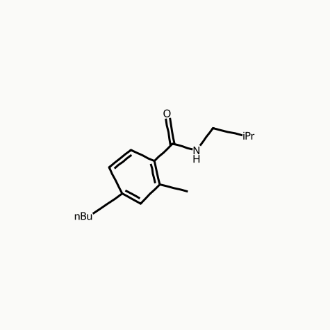 CCCCc1ccc(C(=O)NCC(C)C)c(C)c1